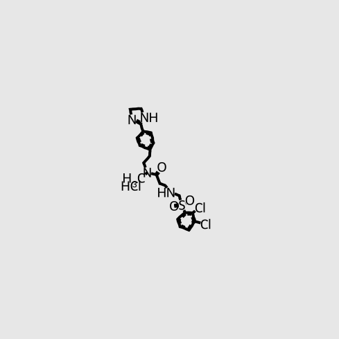 CN(CCc1ccc(C2=NCCN2)cc1)C(=O)CCNCS(=O)(=O)c1cccc(Cl)c1Cl.Cl